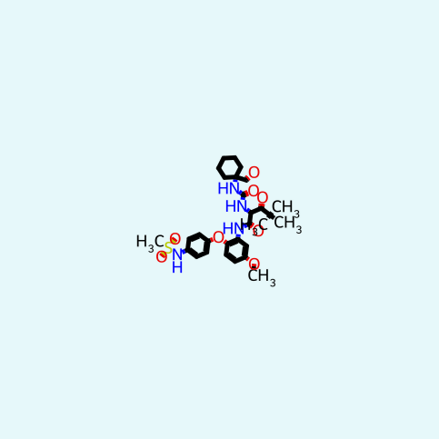 COc1ccc(Oc2ccc(NS(C)(=O)=O)cc2)c(NC(=O)C(NC(=O)NC2(C=O)CCCCC2)C(=O)C(C)(C)C)c1